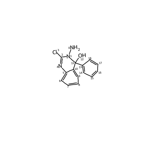 NN1C(Cl)=Nc2ccccc2C1(O)c1ccccc1